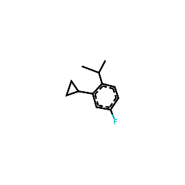 CC(C)c1ccc(F)cc1C1CC1